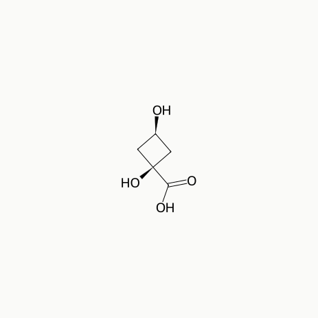 O=C(O)[C@]1(O)C[C@@H](O)C1